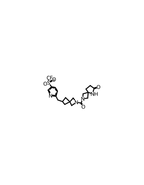 O=C1CCC2(CN(C(=O)N3CC4(CC(Cc5ccc(S(=O)(=O)C(F)(F)F)cn5)C4)C3)C2)N1